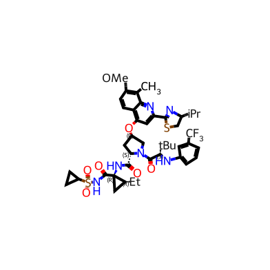 CC[C@@H]1C[C@]1(NC(=O)[C@@H]1C[C@@H](Oc2cc(C3=NC(C(C)C)CS3)nc3c(C)c(OC)ccc23)CN1C(=O)[C@@H](Nc1cccc(C(F)(F)F)c1)C(C)(C)C)C(=O)NS(=O)(=O)C1CC1